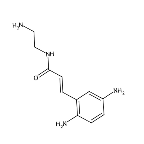 NCCNC(=O)/C=C/c1cc(N)ccc1N